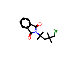 CC(C)(CBr)CC(C)(C)N1C(=O)c2ccccc2C1=O